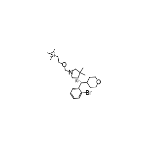 CC1(C)CN(COCC[Si](C)(C)C)C[C@H]1C(c1ccccc1Br)C1CCOCC1